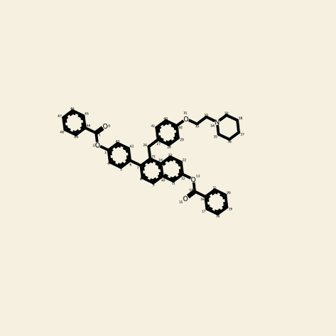 O=C(Oc1ccc(-c2ccc3cc(OC(=O)c4ccccc4)ccc3c2Cc2ccc(OCCN3CCCCC3)cc2)cc1)c1ccccc1